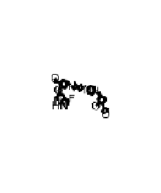 COc1cc(CN2CCN(C3CC4(C3)CN(c3ccc(C=O)c(Oc5cnc6[nH]cc(F)c6c5)c3)C4)CC2)ccc1C1COC1